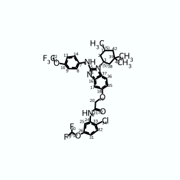 C[C@@H]1C[C@H](n2c(Nc3ccc(OC(F)(F)F)cc3)nc3cc(OCC(=O)Nc4cc(OC(F)F)ccc4Cl)ccc32)CC(C)(C)C1